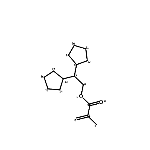 C=C(C)C(=O)OCC(C1CCCC1)C1CCCC1